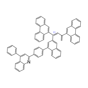 C=C(/C=C(\c1cc(-c2ccc(-c3cc(-c4ccccc4)c4ccccc4n3)cc2)c2ccccc2c1)c1cc2ccccc2c2ccccc12)c1cc2ccccc2c2ccccc12